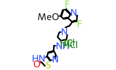 COc1cc(F)c2ncc(F)c(CCN3CCC(NCc4cnc5c(c4)NC(=O)CS5)C(F)C3)c2c1.Cl.Cl